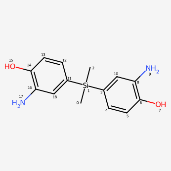 C[Si](C)(c1ccc(O)c(N)c1)c1ccc(O)c(N)c1